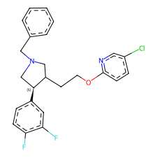 Fc1ccc([C@H]2CN(Cc3ccccc3)CC2CCOc2ccc(Cl)cn2)cc1F